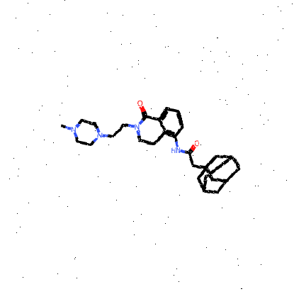 CN1CCN(CCN2CCc3c(NC(=O)CC45CC6CC(CC(C6)C4)C5)cccc3C2=O)CC1